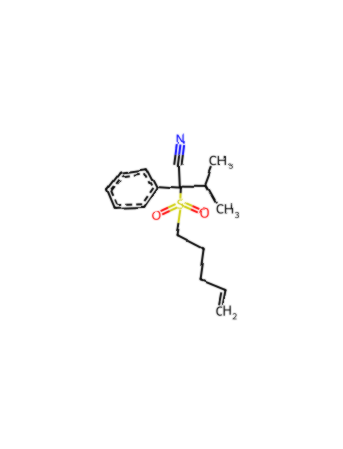 C=CCCCS(=O)(=O)C(C#N)(c1ccccc1)C(C)C